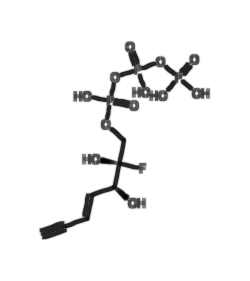 C#CC=C[C@H](O)[C@@](O)(F)COP(=O)(O)OP(=O)(O)OP(=O)(O)O